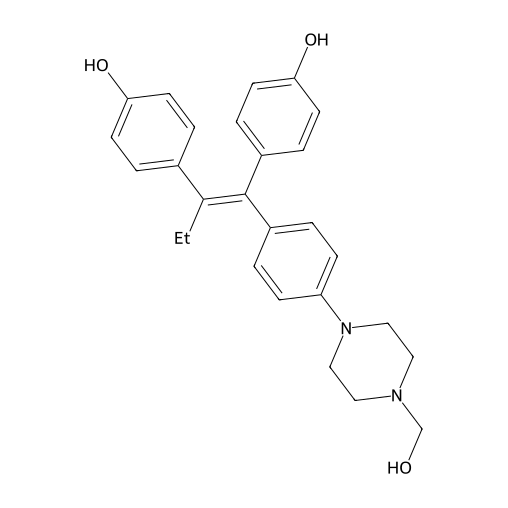 CCC(=C(c1ccc(O)cc1)c1ccc(N2CCN(CO)CC2)cc1)c1ccc(O)cc1